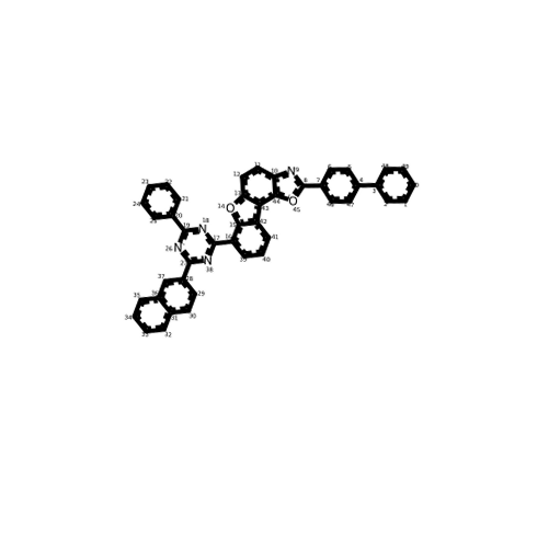 c1ccc(-c2ccc(-c3nc4ccc5oc6c(-c7nc(-c8ccccc8)nc(-c8ccc9ccccc9c8)n7)cccc6c5c4o3)cc2)cc1